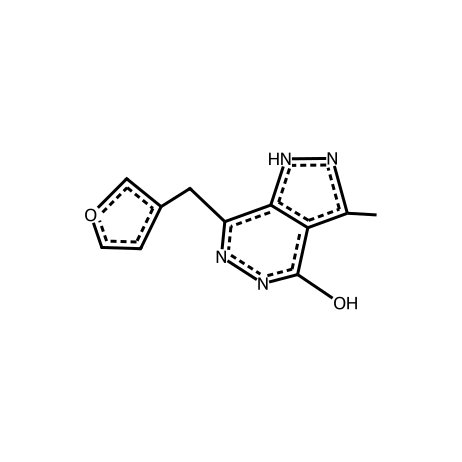 Cc1n[nH]c2c(Cc3ccoc3)nnc(O)c12